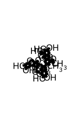 CC(=O)c1c(C)c(-c2oc3cc(O)c(O)c(OC=O)c3c(=O)c2Cc2c(C)oc3c(c2=O)COc2cc(O)c(O)cc2-3)cc2c(=O)c3c(C(=O)O)c(O)c(O)cc3oc12